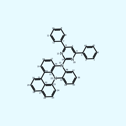 c1ccc(-c2cc(-c3ccccc3)nc(-n3c4cccc5c4-n(c4cccc6cccc5c64)c4ccccc43)n2)cc1